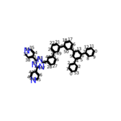 c1ccc(-c2cc(-c3ccccc3)cc(-c3cccc(-c4cccc(-c5cccc(-c6nc(-c7ccncc7)nc(-c7ccncc7)n6)c5)c4)c3)c2)cc1